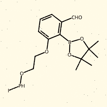 CC1(C)OB(c2c(C=O)cccc2OCCOPI)OC1(C)C